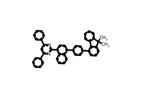 CC1(C)c2ccccc2-c2c(-c3ccc(-c4ccc(-c5nc(-c6ccccc6)cc(-c6ccccc6)n5)c5ccccc45)cc3)cccc21